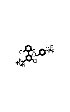 Cn1cnc(-c2cc(Cl)c(OCc3ccc(OC(F)(F)F)cc3)c(-c3c(F)cccc3Cl)c2)n1